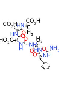 C[C@H](NC(=O)[C@H](CC(=O)O)NC(=O)[C@H](CC(=O)O)NC(=O)CNC(=O)[C@H](C)NC(=O)[C@H](Cc1ccccc1)NC(=O)CN)C(=O)O